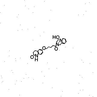 O=C1CCc2cc(OCCCCC(=O)N(CCO)Cc3ccccn3)ccc2N1